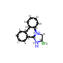 [Br-].c1ccc2c(c1)c1[n+](c3ccccc23)CCN1